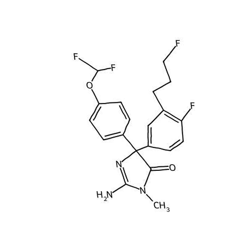 CN1C(=O)C(c2ccc(OC(F)F)cc2)(c2ccc(F)c(CCCF)c2)N=C1N